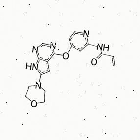 C=CC(=O)Nc1cc(Oc2ncnc3[nH]c(N4CCOCC4)cc23)ccn1